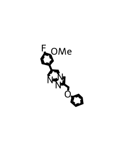 COc1cc(-c2cnc3nc(COc4ccccc4)cn3c2)ccc1F